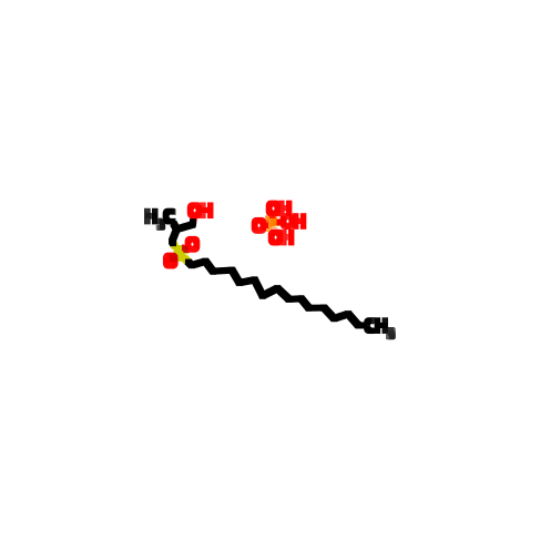 CCCCCCCCCCCCCCCCS(=O)(=O)CC(C)CO.O=P(O)(O)O